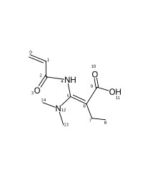 C=CC(=O)NC(=C(CC)C(=O)O)N(C)C